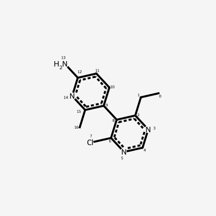 CCc1ncnc(Cl)c1-c1ccc(N)nc1C